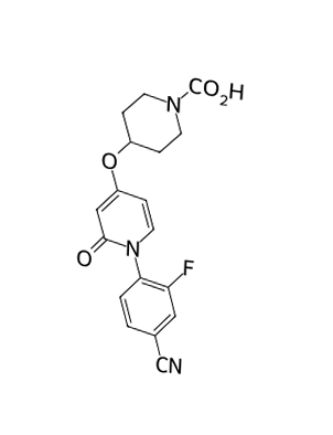 N#Cc1ccc(-n2ccc(OC3CCN(C(=O)O)CC3)cc2=O)c(F)c1